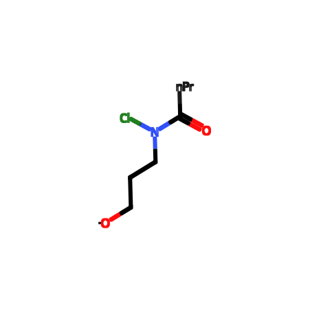 CCCC(=O)N(Cl)CCC[O]